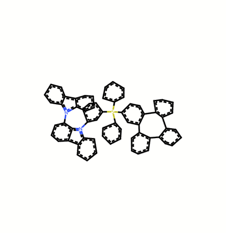 c1ccc(S(c2ccccc2)(c2cccc(-n3c4ccccc4c4cccc(-n5c6ccccc6c6ccccc65)c43)c2)c2ccc3c(c2)-c2ccccc2-c2ccccc2-c2ccccc2-3)cc1